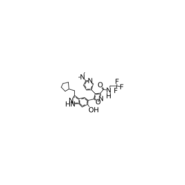 CN(C)c1ccc(-c2c(C(=O)NCC(F)(F)F)noc2-c2cc3c(CC4CCCC4)n[nH]c3cc2O)cn1